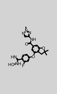 Cn1ncc(NC(=O)c2cc(Oc3ccc(C(=N)NO)c(F)c3)c3c(c2)OC(C)(C)C3)n1